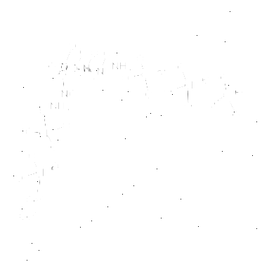 O=[N+]([O-])[O-].O=[N+]([O-])[O-].O=[N+]([O-])[O-].O=[N+]([O-])[O-].O=[N+]([O-])[O-].[Ce+4].[Ce+4].[NH4+].[NH4+].[O-][Cl+3]([O-])([O-])[O-].[O-][Cl+3]([O-])([O-])[O-].[O-][Cl+3]([O-])([O-])[O-].[O-][Cl+3]([O-])([O-])[O-].[O-][Cl+3]([O-])([O-])[O-]